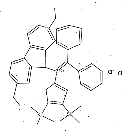 CCc1ccc2c(c1)[CH]([Zr+2]([C]1=CC([Si](C)(C)C)=C([Si](C)(C)C)C1)=[C](c1ccccc1)c1ccccc1)c1cc(CC)ccc1-2.[Cl-].[Cl-]